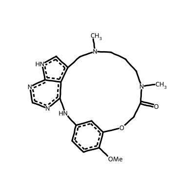 COc1ccc2cc1OCC(=O)N(C)CCCN(C)Cc1c[nH]c3ncnc(c13)N2